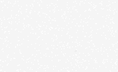 COC(=O)c1cc(C)cc(Cl)c1